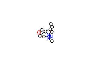 c1ccc(-c2nc(-c3ccccc3)nc(-c3cccc4c3-c3cc(-c5ccc6ccc7ccccc7c6c5)ccc3C43c4ccccc4Oc4ccccc43)n2)cc1